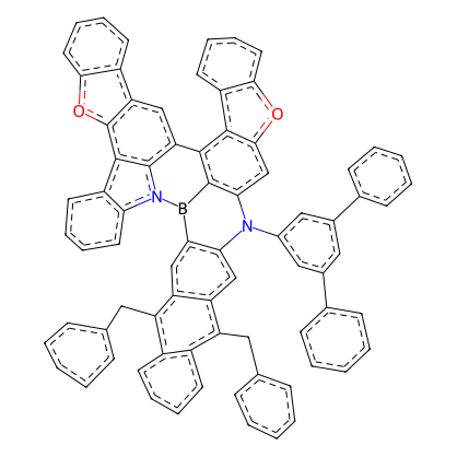 c1ccc(Cc2c3ccccc3c(Cc3ccccc3)c3cc4c(cc23)B2c3c(cc5oc6ccccc6c5c3-c3cc5c6ccccc6oc5c5c6ccccc6n2c35)N4c2cc(-c3ccccc3)cc(-c3ccccc3)c2)cc1